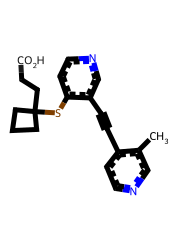 Cc1cnccc1C#Cc1cnccc1SC1(CCC(=O)O)CCC1